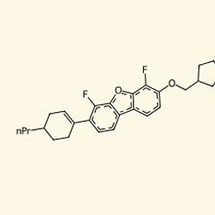 CCCC1CC=C(c2ccc3c(oc4c(F)c(OCC5CCCC5)ccc43)c2F)CC1